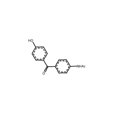 CC(=O)Nc1ccc(C(=O)c2ccc(O)cc2)cc1